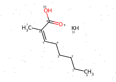 CCCCCC=C(C)C(=O)O.[KH]